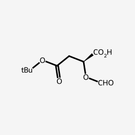 CC(C)(C)OC(=O)C[C@H](OC=O)C(=O)O